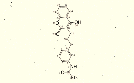 C[CH]C(=O)Nc1cccc(CCCc2c(O)c3ccccc3oc2=O)c1